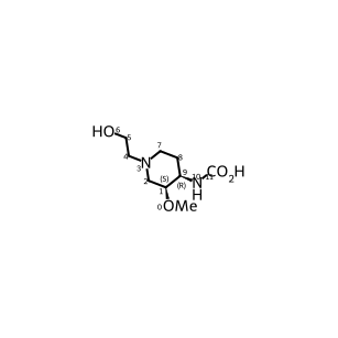 CO[C@H]1CN(CCO)CC[C@H]1NC(=O)O